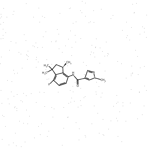 C[C@@H]1CC(C)(C)c2c(F)ccc(NC(=O)c3cnn(C)c3)c21